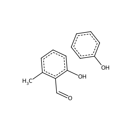 Cc1cccc(O)c1C=O.Oc1ccccc1